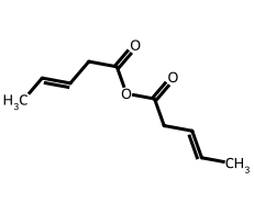 CC=CCC(=O)OC(=O)CC=CC